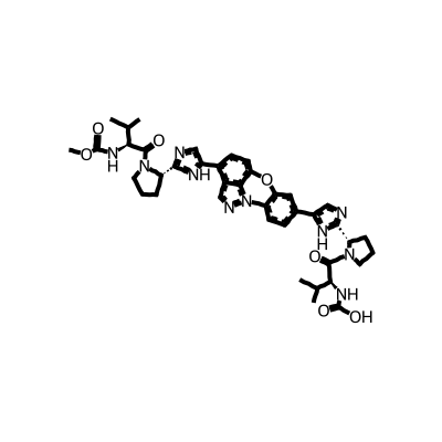 COC(=O)N[C@H](C(=O)N1CCC[C@H]1c1ncc(-c2ccc3c4c2cnn4-c2ccc(-c4cnc([C@@H]5CCCN5C(=O)[C@@H](NC(=O)O)C(C)C)[nH]4)cc2O3)[nH]1)C(C)C